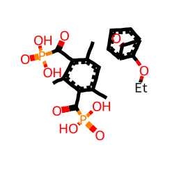 CCOc1c2cccc1C2=O.Cc1cc(C)c(C(=O)P(=O)(O)O)c(C)c1C(=O)P(=O)(O)O